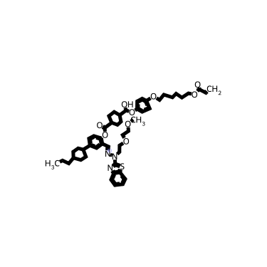 C=CC(=O)OCCCCCCOc1ccc(OC(O)C2CCC(C(=O)Oc3ccc(C4CCC(CCC)CC4)cc3/C=N/N(CCOCCOC)c3nc4ccccc4s3)CC2)cc1